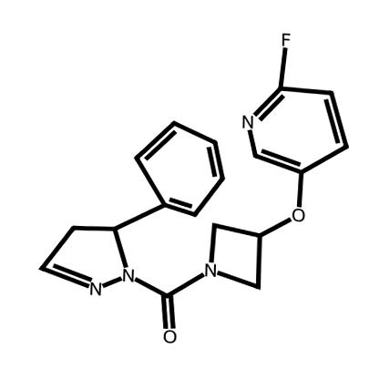 O=C(N1CC(Oc2ccc(F)nc2)C1)N1N=CCC1c1ccccc1